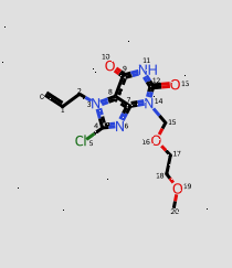 C=CCn1c(Cl)nc2c1c(=O)[nH]c(=O)n2COCCOC